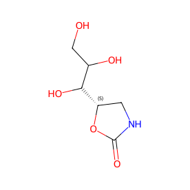 O=C1NC[C@@H](C(O)C(O)CO)O1